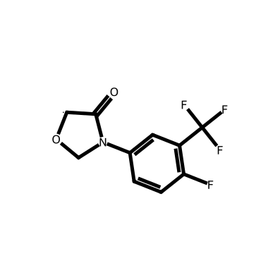 O=C1[CH]OCN1c1ccc(F)c(C(F)(F)F)c1